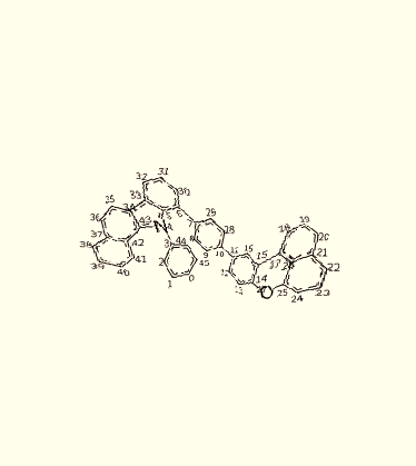 c1ccc(-n2c3c(-c4ccc(-c5ccc6c(c5)-c5cccc7cccc(c57)O6)cc4)cccc3c3ccc4ccccc4c32)cc1